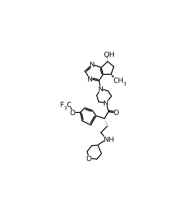 C[C@@H]1C[C@@H](O)c2ncnc(N3CCN(C(=O)[C@H](CCNC4CCOCC4)c4ccc(OC(F)(F)F)cc4)CC3)c21